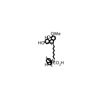 COc1ccc2c3c1O[C@H]1C[C@@H](O)C=C[C@@]31CCN(CCCCCCCN(C(=O)O)[C@]13C[C@@H]4C[C@@](C)(C[C@@](C)(C4)C1)C3)C2